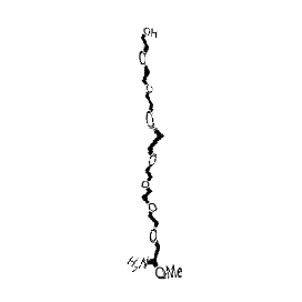 COC(N)COCCOCCOCCOCCOCCOCCOCCO